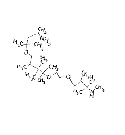 CNC(C)(C)C(C)COCCOC(C)(C)C(C)(C)C(C)COC(C)(C)CC(C)N